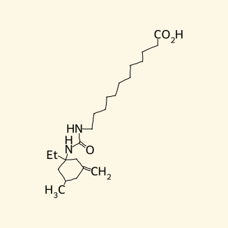 C=C1CC(C)CC(CC)(NC(=O)NCCCCCCCCCCCC(=O)O)C1